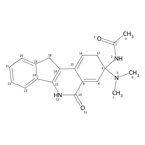 CC(=O)NC1(N(C)C)C=c2c(=O)[nH]c3c(c2=CC1)Cc1ccccc1-3